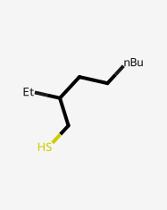 CCCCCCC(CC)CS